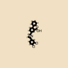 O=C(O)c1cc(-c2nc(-c3ccc(Cl)c(Cl)c3)cs2)ccc1-c1ccccc1